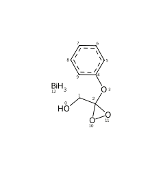 OCC1(Oc2ccccc2)OO1.[BiH3]